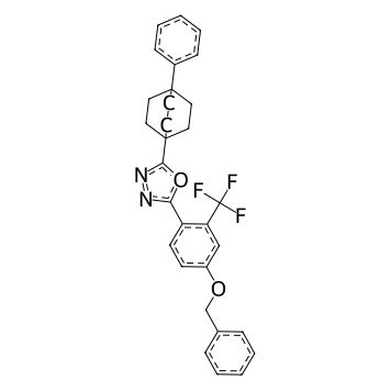 FC(F)(F)c1cc(OCc2ccccc2)ccc1-c1nnc(C23CCC(c4ccccc4)(CC2)CC3)o1